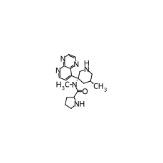 C[C@@H]1CNC[C@@](c2ccnc3nccnc23)(N(C)C(=O)C2CCCN2)C1